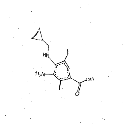 Cc1cc(C(=O)O)c(C)c(N)c1NCC1CC1